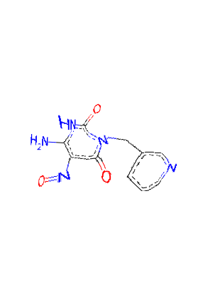 Nc1[nH]c(=O)n(Cc2cccnc2)c(=O)c1N=O